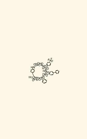 O=C1C[C@@H](O)C(=O)Nc2ccc(cc2)C[C@@H](C(=O)O)NC(=O)[C@@H](Cc2ccccc2)NC(=O)[C@H](Cc2ccc(-c3ccccc3)cc2)NC(=O)[C@@H](Cc2ccc(C(F)(F)F)cc2)N1